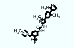 Cc1cc(-c2cc(NC(=O)Nc3ccc(CN4CCN(C)CC4)c(C(F)(F)F)c3)nn2C)ccc1-c1cccnc1N